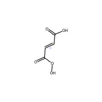 O=C(O)/C=C/C(=O)OO